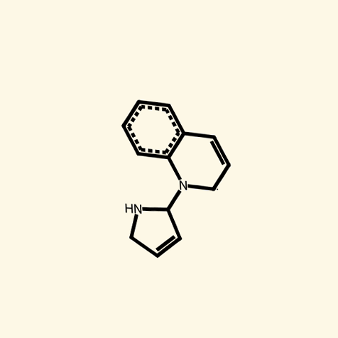 [CH]1C=Cc2ccccc2N1C1C=CCN1